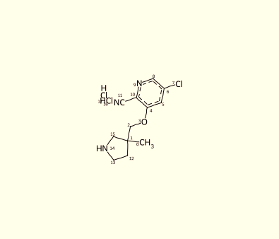 CC1(COc2cc(Cl)cnc2C#N)CCNC1.Cl.Cl